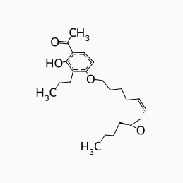 CCCC[C@@H]1O[C@H]1/C=C\CCCCOc1ccc(C(C)=O)c(O)c1CCC